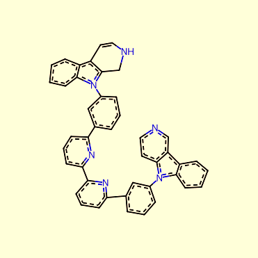 C1=Cc2c(n(-c3cccc(-c4cccc(-c5cccc(-c6cccc(-n7c8ccccc8c8cnccc87)c6)n5)n4)c3)c3ccccc23)CN1